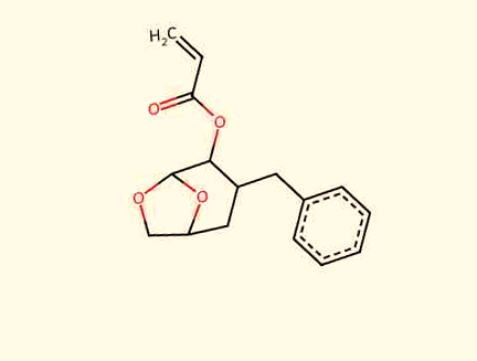 C=CC(=O)OC1C(Cc2ccccc2)CC2COC1O2